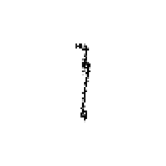 O=C(CCCCCCCCCCCCCCc1ccc(F)cc1)Cc1ccc(OCCCc2c[nH]cn2)cc1